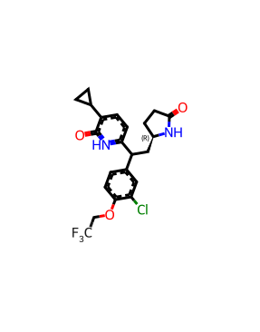 O=C1CC[C@H](CC(c2ccc(OCC(F)(F)F)c(Cl)c2)c2ccc(C3CC3)c(=O)[nH]2)N1